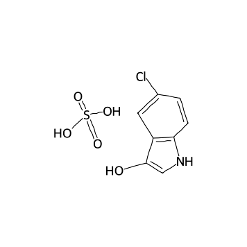 O=S(=O)(O)O.Oc1c[nH]c2ccc(Cl)cc12